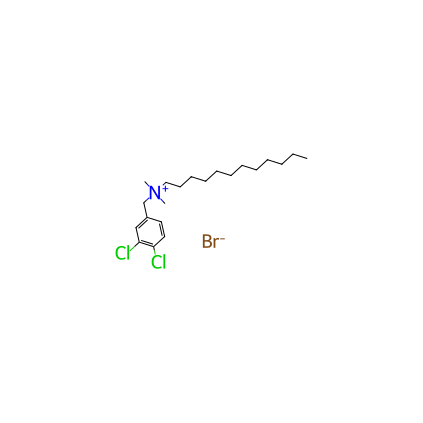 CCCCCCCCCCCC[N+](C)(C)Cc1ccc(Cl)c(Cl)c1.[Br-]